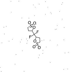 O=S1(=O)CCC(C(F)(F)C2CCS(=O)(=O)O2)O1